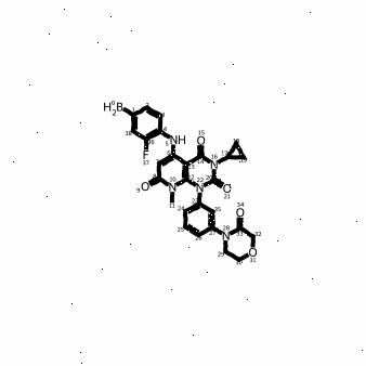 Bc1ccc(Nc2cc(=O)n(C)c3c2c(=O)n(C2CC2)c(=O)n3-c2cccc(N3CCOCC3=O)c2)c(F)c1